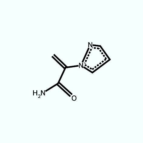 C=C(C(N)=O)n1cccn1